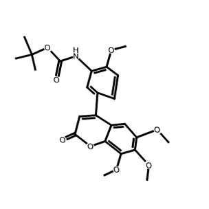 COc1ccc(-c2cc(=O)oc3c(OC)c(OC)c(OC)cc23)cc1NC(=O)OC(C)(C)C